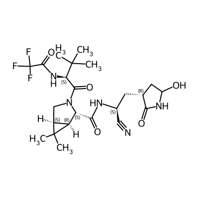 CC(C)(C)[C@H](NC(=O)C(F)(F)F)C(=O)N1C[C@H]2[C@@H]([C@H]1C(=O)N[C@H](C#N)C[C@@H]1CC(O)NC1=O)C2(C)C